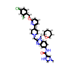 CN1C=C(C(=O)Nc2ccc3c(c2)nc(CN2CC=C(c4cccc(OCc5ccc(Cl)cc5F)n4)CC2)n3C[C@@H]2CCCCCO2)NC1